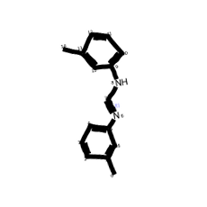 Cc1cccc(/N=C/Nc2cccc(C)c2)c1